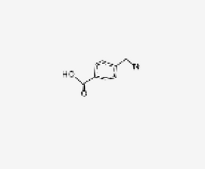 [N]Cc1ccc(C(=O)O)cc1